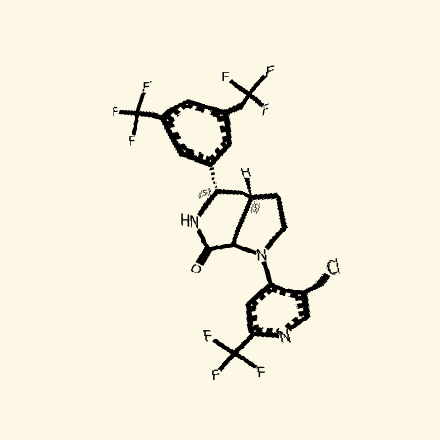 O=C1N[C@H](c2cc(C(F)(F)F)cc(C(F)(F)F)c2)[C@@H]2CCN(c3cc(C(F)(F)F)ncc3Cl)C12